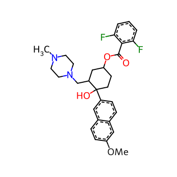 COc1ccc2cc(C3(O)CCC(OC(=O)c4c(F)cccc4F)CC3CN3CCN(C)CC3)ccc2c1